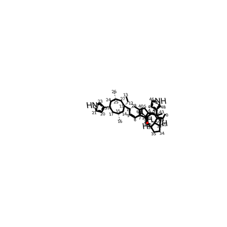 C\C=C(/C=C1/CC2=C(C=C[C@H]([C@@]3(CC)C[C@H](C)C[C@@H](c4cc[nH]c4)C[C@H](C)C3)C2)/C1=C/C)[C@H]1[C@@H]2CC[C@H]1C[C@@H](CC)CC(C)(c1cc[nH]c1)C2